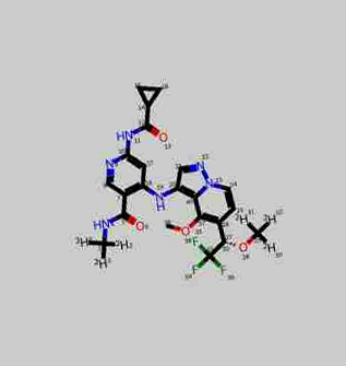 [2H]C([2H])([2H])NC(=O)c1cnc(NC(=O)C2CC2)cc1Nc1cnn2ccc([C@H](OC([2H])([2H])[2H])C(F)(F)F)c(OC)c12